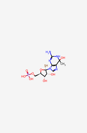 CC1(O)NC(N)=Nc2c1ncn2[C@]1(S)O[C@H](COP(=O)(O)O)[C@@H](O)[C@H]1O